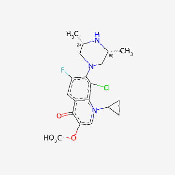 C[C@@H]1CN(c2c(F)cc3c(=O)c(OC(=O)O)cn(C4CC4)c3c2Cl)C[C@H](C)N1